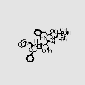 CCC(C)(O)C(=O)[C@H](CC(C)C)NC(=O)[C@H](Cc1ccccc1)NC(=O)[C@H](CC(C)C)NC(=O)[C@H](CCc1ccccc1)NC(=O)CN1CCOCC1